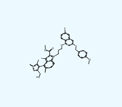 COC(=O)c1c(C)c2c(-c3c(CO)nn(C)c3C)c(C)ccc2n1CCCOc1cc(SCc2ccc(OC)cc2)cc2cc(F)ccc12